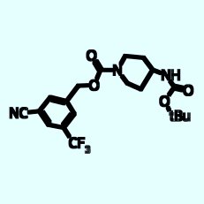 CC(C)(C)OC(=O)NC1CCN(C(=O)OCc2cc(C#N)cc(C(F)(F)F)c2)CC1